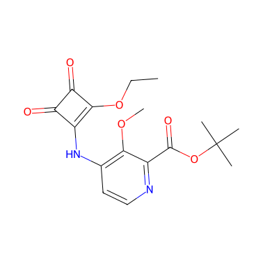 CCOc1c(Nc2ccnc(C(=O)OC(C)(C)C)c2OC)c(=O)c1=O